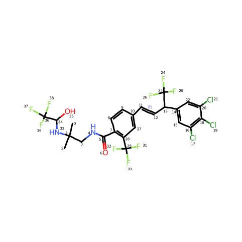 CC(C)(CNC(=O)c1ccc(/C=C/C(c2cc(Cl)c(Cl)c(Cl)c2)C(F)(F)F)cc1C(F)(F)F)NC(O)C(F)(F)F